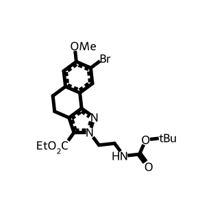 CCOC(=O)c1c2c(nn1CCNC(=O)OC(C)(C)C)-c1cc(Br)c(OC)cc1CC2